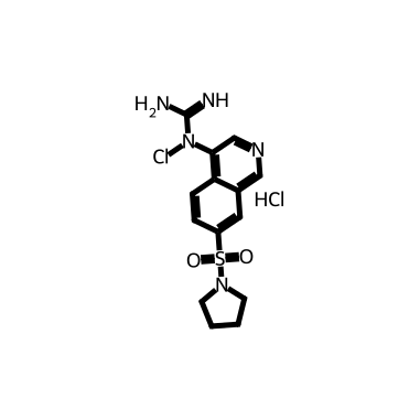 Cl.N=C(N)N(Cl)c1cncc2cc(S(=O)(=O)N3CCCC3)ccc12